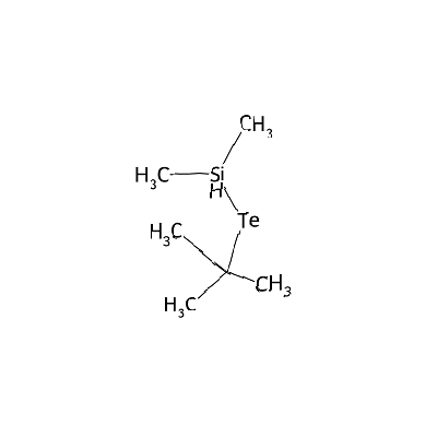 C[SiH](C)[Te]C(C)(C)C